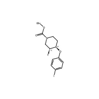 CC(C)(C)OC(=O)N1CC[C@@H](Oc2ccc(I)cc2)[C@@H](F)C1